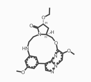 CCO[C@@H]1C[C@H]2COc3nc4c(cnn4cc3OC)-c3cc(cc(OC)c3)NCCN2C1=O